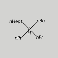 CCCCCCC[PH](CCC)(CCC)CCCC